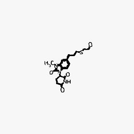 Cn1c(=O)n(C2CCC(=O)NC2=O)c2ccc(CCCSCC=O)cc21